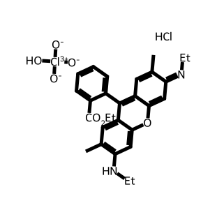 CC/N=c1/cc2oc3cc(NCC)c(C)cc3c(-c3ccccc3C(=O)OCC)c-2cc1C.Cl.[O-][Cl+3]([O-])([O-])O